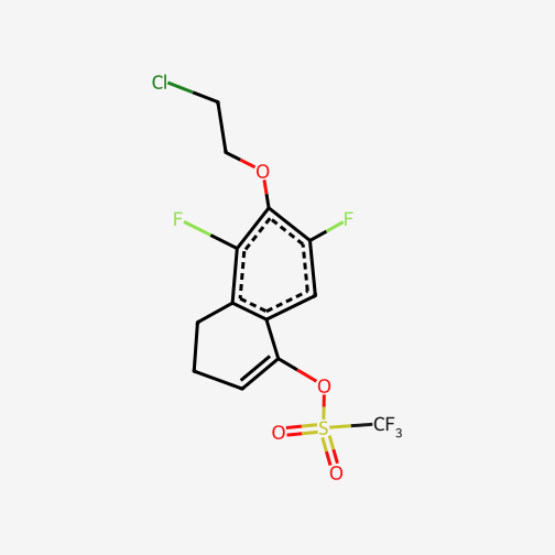 O=S(=O)(OC1=CCCc2c1cc(F)c(OCCCl)c2F)C(F)(F)F